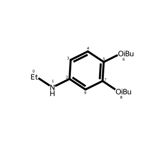 CCNc1ccc(OCC(C)C)c(OCC(C)C)c1